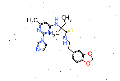 CCC(C)(Nc1cc(C)nc(-n2ccnc2)n1)C(=S)NCCc1ccc2c(c1)OCO2